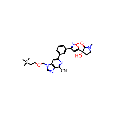 CN1CC[C@@](O)(c2cc(-c3cccc(-c4cc5c(ncn5COCC[Si](C)(C)C)c(C#N)n4)c3)no2)C1=O